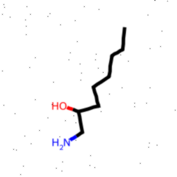 CCCCCCC(O)CN